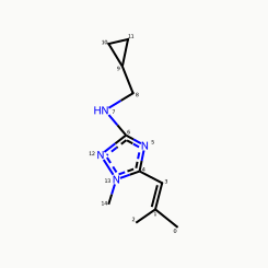 CC(C)=Cc1nc(NCC2CC2)nn1C